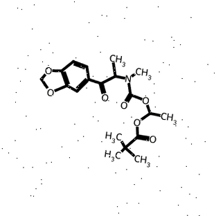 CC(OC(=O)N(C)C(C)C(=O)c1ccc2c(c1)OCO2)OC(=O)C(C)(C)C